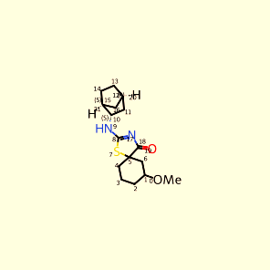 COC1CCCC2(C1)SC(N[C@H]1C[C@@H]3CC[C@H]1C3)=NC2=O